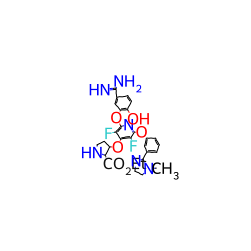 CCOC(=O)C1NCCC1Oc1c(F)c(Oc2cccc(C3=NCCN3C)c2)nc(Oc2cc(C(=N)N)ccc2O)c1F